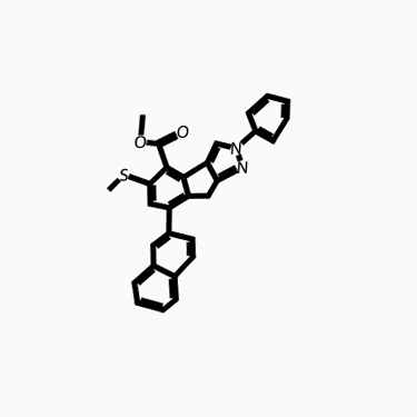 COC(=O)c1c(SC)cc(-c2ccc3ccccc3c2)c2c1-c1cn(-c3ccccc3)nc1C2